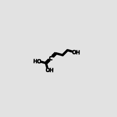 OCCC=C=C(O)O